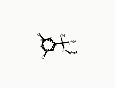 CCCCCOC(O)(OC)c1cc(Cl)cc(Cl)c1